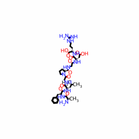 CC(C)C[C@H](NC(=O)[C@H](Cc1ccccc1)NC(=O)[C@H](C)N)C(=O)NCC(=O)N1CCC[C@H]1C(=O)NCC(=O)N[C@@H](CC(=O)O)C(=O)N[C@@H](CCCNC(=N)N)C(=O)O